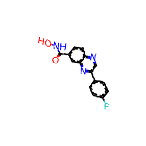 O=C(NO)c1ccc2ncc(-c3ccc(F)cc3)nc2c1